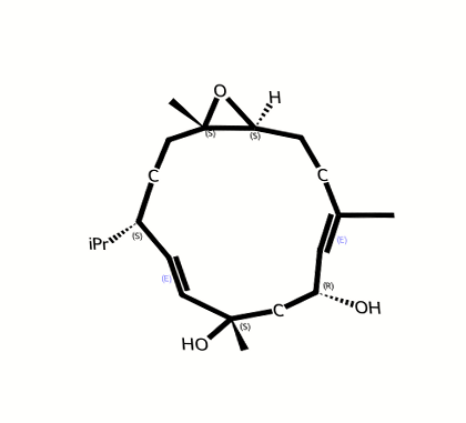 C/C1=C\[C@H](O)C[C@](C)(O)/C=C/[C@H](C(C)C)CC[C@]2(C)O[C@H]2CC1